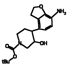 CC(C)(C)OC(=O)N1CCC(c2ccc(N)c3c2CCO3)C(O)C1